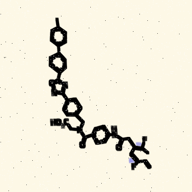 C=C/C(F)=C\C(CC(=O)Nc1ccc(C(=O)N(CC(=O)O)Cc2ccc(-c3noc(-c4ccc(-c5ccc(C)cc5)cc4)n3)cc2)cc1)=C(/C)F